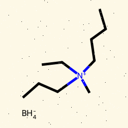 CCCC[N+](C)(CC)CCC.[BH4-]